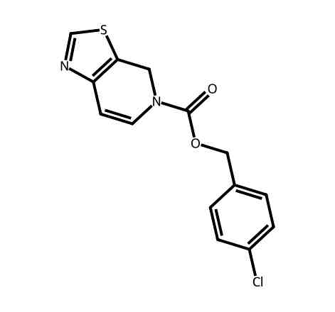 O=C(OCc1ccc(Cl)cc1)N1C=Cc2ncsc2C1